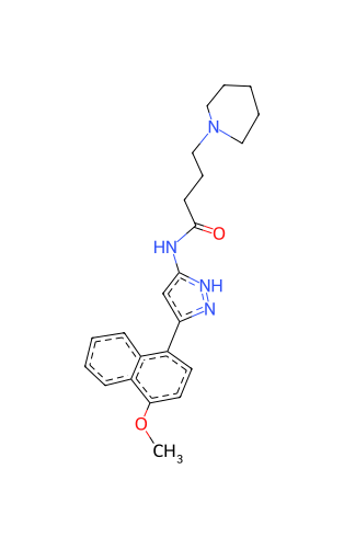 COc1ccc(-c2cc(NC(=O)CCCN3CCCCC3)[nH]n2)c2ccccc12